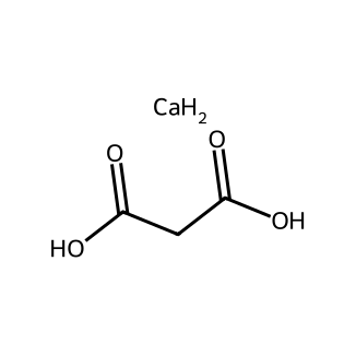 O=C(O)CC(=O)O.[CaH2]